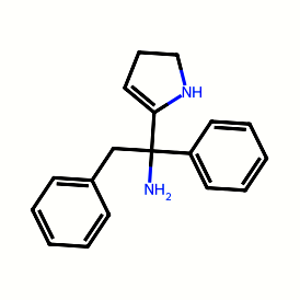 NC(Cc1ccccc1)(C1=CCCN1)c1ccccc1